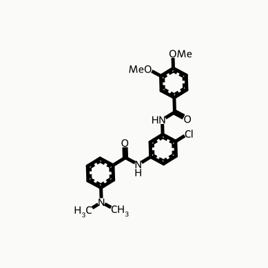 COc1ccc(C(=O)Nc2cc(NC(=O)c3cccc(N(C)C)c3)ccc2Cl)cc1OC